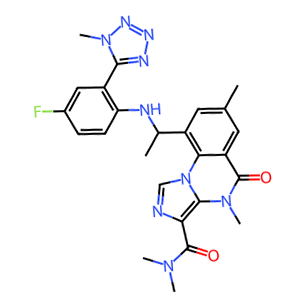 Cc1cc(C(C)Nc2ccc(F)cc2-c2nnnn2C)c2c(c1)c(=O)n(C)c1c(C(=O)N(C)C)ncn21